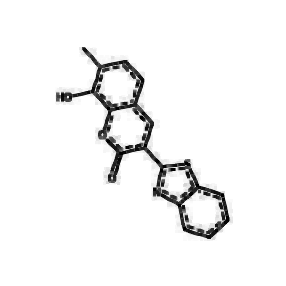 Cc1ccc2cc(-c3nc4ccccc4s3)c(=O)oc2c1O